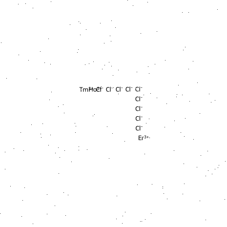 [Cl-].[Cl-].[Cl-].[Cl-].[Cl-].[Cl-].[Cl-].[Cl-].[Cl-].[Er+3].[Ho+3].[Tm+3]